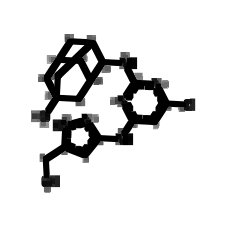 OCc1cc(Nc2cc(Cl)nc(NC3C4CC5CC3CC(O)(C5)C4)n2)n[nH]1